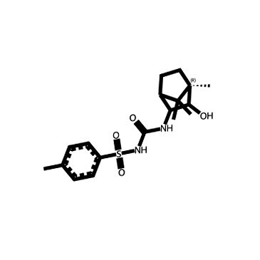 Cc1ccc(S(=O)(=O)NC(=O)NC2C3CC[C@@](C)(C2O)C3(C)C)cc1